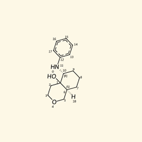 OC12CCOC[C@@H]1CCC[C@H]2Nc1ccccc1